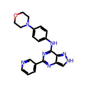 c1cncc(-c2nc(Nc3ccc(N4CCOCC4)cc3)c3n[nH]cc3n2)c1